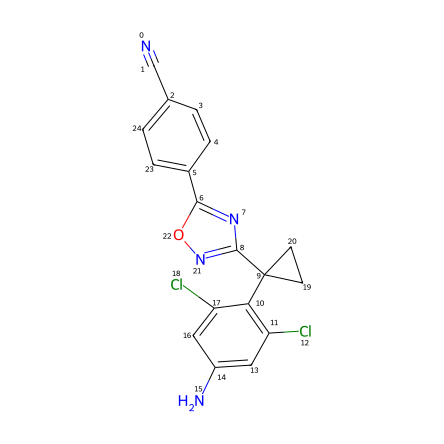 N#Cc1ccc(-c2nc(C3(c4c(Cl)cc(N)cc4Cl)CC3)no2)cc1